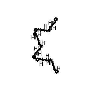 c1ccc(CNCCCCNC[C@@H]2C[C@H]2CNCCCCNCc2cccc(-c3cccc(CNCCCCNC[C@H]4C[C@@H]4CNCCCCNCc4cccc(-c5cccc(CNCCCCNC[C@@H]6C[C@@H]6CNCCCCNCc6ccccc6)c5)c4)c3)c2)cc1